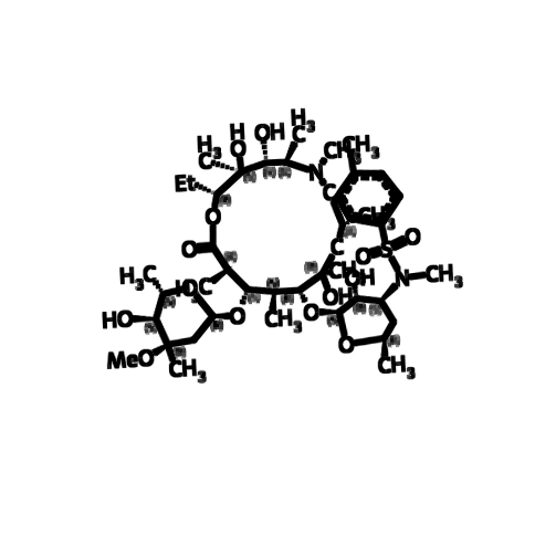 CC[C@H]1OC(=O)[C@H](C)[C@@H](O[C@H]2C[C@@](C)(OC)[C@@H](O)[C@H](C)O2)[C@H](C)[C@@H](O[C@@H]2O[C@H](C)C[C@H](N(C)S(=O)(=O)c3ccc(C)cc3)[C@H]2O)[C@](C)(O)C[C@@H](C)CN(C)[C@H](C)[C@@H](O)[C@]1(C)O